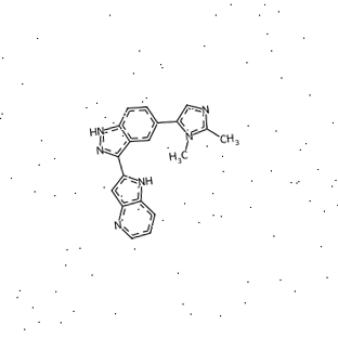 Cc1ncc(-c2ccc3[nH]nc(-c4cc5ncccc5[nH]4)c3c2)n1C